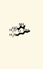 CC(O)C(N)C(=O)O.CCCCCCN.O